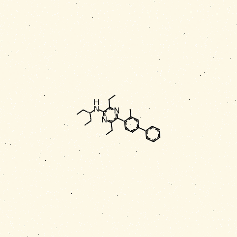 CCc1nc(-c2ccc(-c3ccccc3)cc2C)c(CC)nc1NC(CC)CC